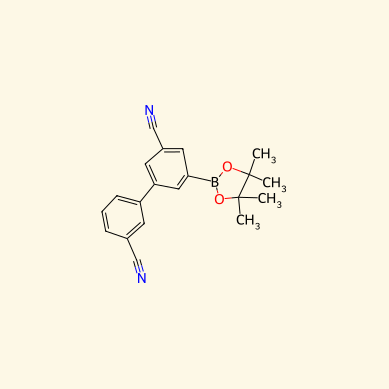 CC1(C)OB(c2cc(C#N)cc(-c3cccc(C#N)c3)c2)OC1(C)C